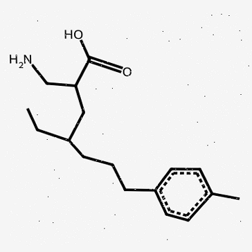 CCC(CCCc1ccc(C)cc1)CC(CN)C(=O)O